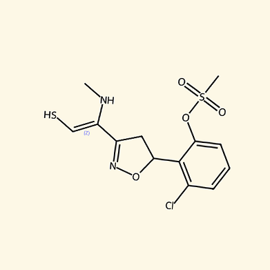 CN/C(=C\S)C1=NOC(c2c(Cl)cccc2OS(C)(=O)=O)C1